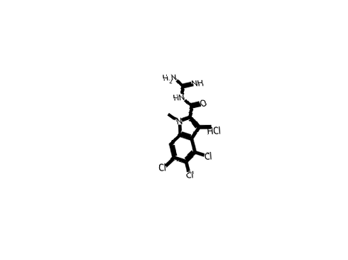 Cc1c(C(=O)NC(=N)N)n(C)c2cc(Cl)c(Cl)c(Cl)c12.Cl